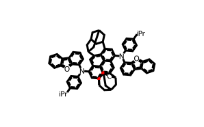 CC(C)c1ccc(N(c2cc3c4c(cc5c(N(c6ccc(C(C)C)cc6)c6cccc7c6oc6ccccc67)cc6c7c(cc2c4c57)C2CC4CC(CC6C4)C2)C2CC4CC(CC3C4)C2)c2cccc3c2oc2ccccc23)cc1